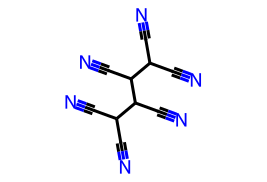 N#CC(C#N)C(C#N)C(C#N)C(C#N)C#N